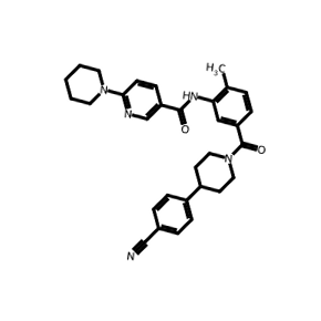 Cc1ccc(C(=O)N2CCC(c3ccc(C#N)cc3)CC2)cc1NC(=O)c1ccc(N2CCCCC2)nc1